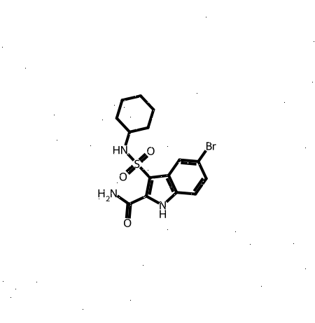 NC(=O)c1[nH]c2ccc(Br)cc2c1S(=O)(=O)NC1CCCCC1